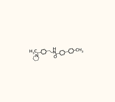 Cc1ccc(-c2ccc(C(=O)NCCc3ccc(C(C)N4CCCCC4)cc3)cc2)cc1